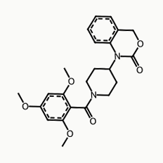 COc1cc(OC)c(C(=O)N2CCC(N3C(=O)OCc4ccccc43)CC2)c(OC)c1